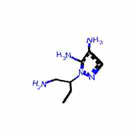 CCC(CN)n1ncc(N)c1N